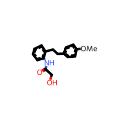 COc1ccc(CCc2ccccc2NC(=O)CO)cc1